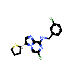 Clc1cccc(CNc2nc(Cl)cn3c([C@@H]4CCCS4)cnc23)c1